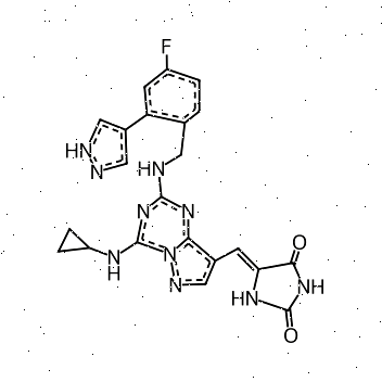 O=C1NC(=O)/C(=C/c2cnn3c(NC4CC4)nc(NCc4ccc(F)cc4-c4cn[nH]c4)nc23)N1